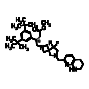 COC(=O)C[C@H](CN1CC2(CN(Cc3ccc4c(n3)NCCC4)CC2(F)F)C1)c1cc(C(C)(C)C)cc(C(C)(C)C)c1